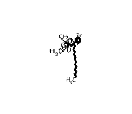 CCCCCCCCCCCCCCC1(c2cccc(Br)c2)CC(C(=O)OCC)(C(=O)OCC)ON1